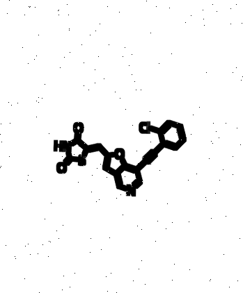 O=C1NC(=O)/C(=C/c2cc3cncc(C#Cc4ccccc4Cl)c3o2)S1